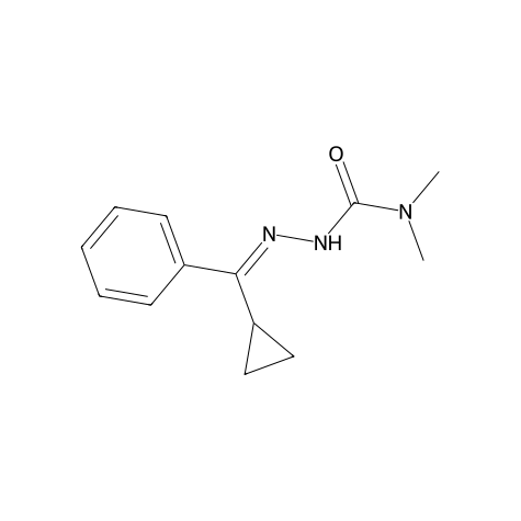 CN(C)C(=O)NN=C(c1ccccc1)C1CC1